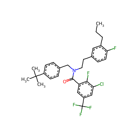 CCCc1cc(CCN(Cc2ccc(C(C)(C)C)cc2)C(=O)c2cc(C(F)(F)F)cc(Cl)c2F)ccc1F